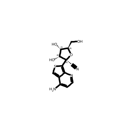 N#C[C@@]1(c2scc3c(N)ccnc23)O[C@H](CO)[C@@H](O)[C@H]1O